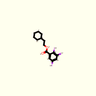 O=C(OCCC1CCCCC1)c1cc(I)cc(I)c1I